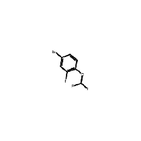 Fc1cc(Br)ccc1OC(F)F